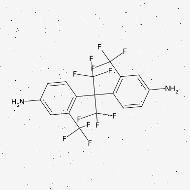 Nc1ccc(C(c2ccc(N)cc2C(F)(F)F)(C(F)(F)F)C(F)(F)F)c(C(F)(F)F)c1